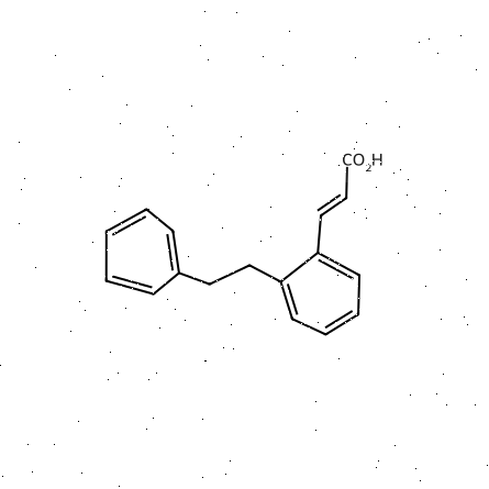 O=C(O)C=Cc1ccccc1CCc1ccccc1